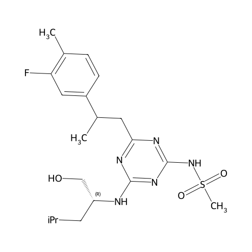 Cc1ccc(C(C)Cc2nc(N[C@@H](CO)CC(C)C)nc(NS(C)(=O)=O)n2)cc1F